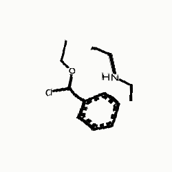 CCNCC.CCOC(Cl)c1ccccc1